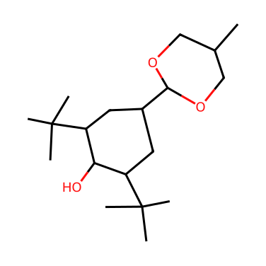 CC1COC(C2CC(C(C)(C)C)C(O)C(C(C)(C)C)C2)OC1